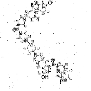 CC(C)(O)c1cc2nn(C3CCC(N4CCN(C(=O)[C@@H]5CCN(c6cc(F)c([C@H]7CCC(=O)NC7=O)c(F)c6)C5)CC4)CC3)cc2cc1NC(=O)c1ccc2c(n1)C(F)(F)CCC2